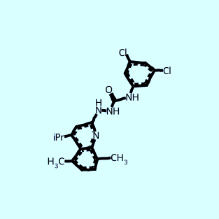 Cc1ccc(C)c2c(C(C)C)cc(NNC(=O)Nc3cc(Cl)cc(Cl)c3)nc12